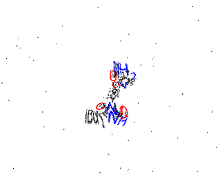 CCC(C)CC1NC(=O)N([C@H]2CC3(C[C@H](Oc4ncccc4C(N)=O)C3)C2)C1=O